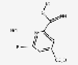 CCOC(=N)c1cc(C(=O)OCC)cc(CC)n1.Cl